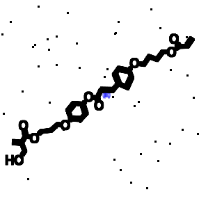 C=CC(=O)OCCCCOc1ccc(/C=C/C(=O)Oc2ccc(OCCCOC(=O)C(=C)CO)cc2)cc1